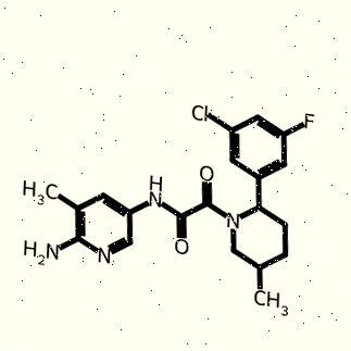 Cc1cc(NC(=O)C(=O)N2CC(C)CCC2c2cc(F)cc(Cl)c2)cnc1N